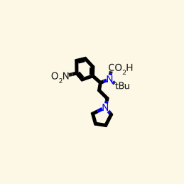 CC(C)(C)N(C(=O)O)C(CCN1CCCC1)c1cccc([N+](=O)[O-])c1